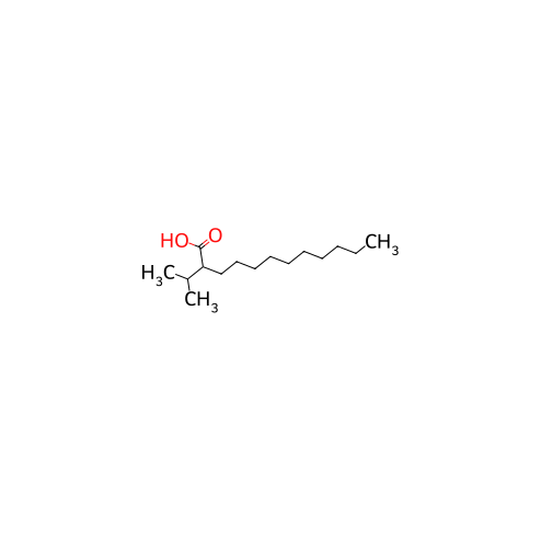 CCCCCCCCCCC(C(=O)O)C(C)C